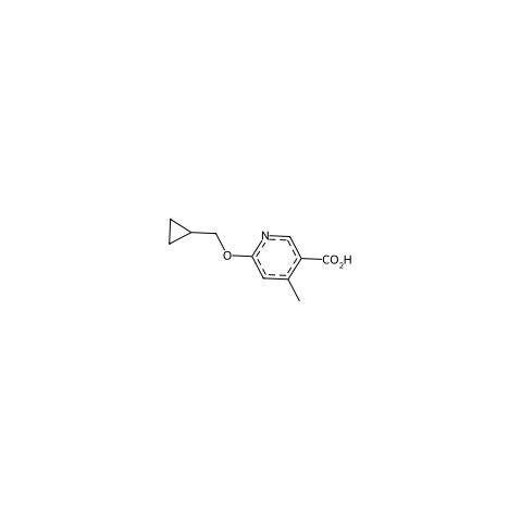 Cc1cc(OCC2CC2)ncc1C(=O)O